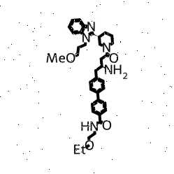 CCOCCNC(=O)c1ccc(-c2ccc(C[C@@H](N)CC(=O)N3CCC[C@@H](c4nc5ccccc5n4CCCOC)C3)cc2)cc1